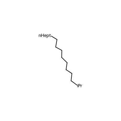 [CH2]C(C)CCCCCCCCCCCCCCC